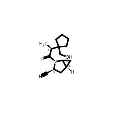 C[C@H](C(=O)N1C2C[C@H]2C[C@H]1C#N)C1(CO)CCCC1